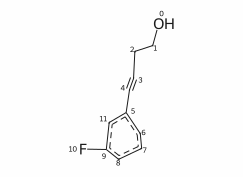 OCCC#Cc1cccc(F)c1